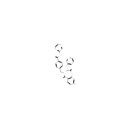 O=C(Nc1cnccn1)c1ccc(CN2C(=O)c3ccc(Cl)cc3NC(=O)[C@H]2Cc2cccnc2)cc1